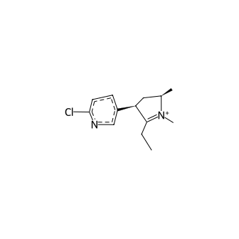 CCC1=[N+](C)[C@H](C)C[C@@H]1c1ccc(Cl)nc1